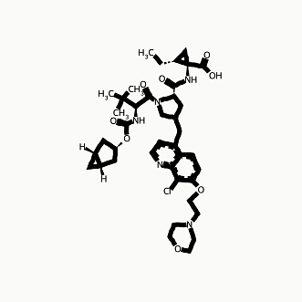 CC[C@@H]1C[C@]1(NC(=O)[C@@H]1CC(Cc2ccnc3c(Cl)c(OCCN4CCOCC4)ccc23)CN1C(=O)[C@@H](NC(=O)O[C@@H]1C[C@@H]2C[C@@H]2C1)C(C)(C)C)C(=O)O